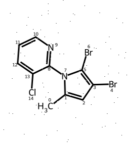 Cc1cc(Br)c(Br)n1-c1ncccc1Cl